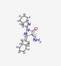 N/C=C1/C(=O)N(c2nc3ccccc3s2)N=C1c1cc2ccccc2s1